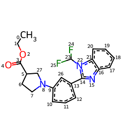 CCOC(=O)C1CCN(c2cccc(-c3nc4ccccc4n3C(F)F)c2)C1